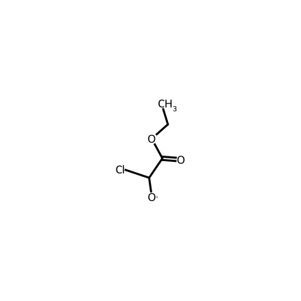 CCOC(=O)C([O])Cl